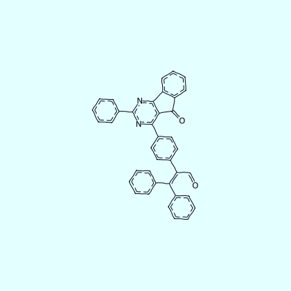 O=CC(=C(c1ccccc1)c1ccccc1)c1ccc(-c2nc(-c3ccccc3)nc3c2C(=O)c2ccccc2-3)cc1